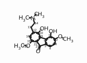 COc1ccc2c(c1O)-c1c(O)c(CCN(C)C)cc(OC)c1C2=O